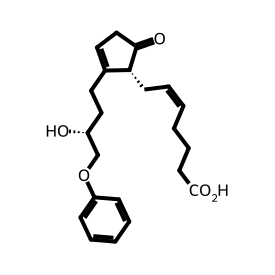 O=C(O)CCC/C=C\C[C@H]1C(=O)CC=C1CC[C@@H](O)COc1ccccc1